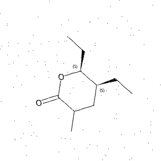 CC[C@H]1CC(C)C(=O)O[C@H]1CC